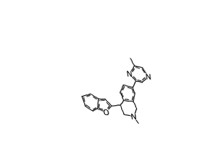 Cc1cncc(-c2ccc3c(c2)CN(C)CC3c2cc3ccccc3o2)n1